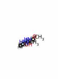 COc1cccc(Nc2nc(Nc3cc4ccccc4cc3O)ncc2C)c1